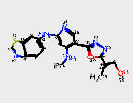 CC(C)Nc1cc(Nc2ccc3ncsc3c2)ncc1-c1nnc(C(C)CO)o1